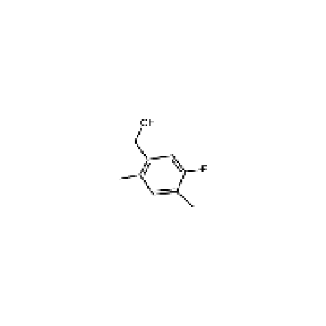 Cc1cc(C)c(CO)cc1F